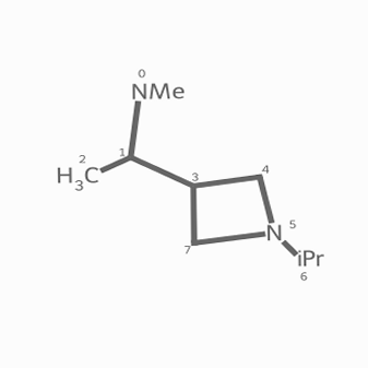 CNC(C)C1CN(C(C)C)C1